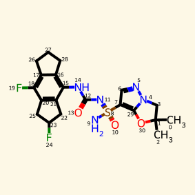 CC1(C)Cn2ncc(S(N)(=O)=NC(=O)Nc3c4c(c(F)c5c3CC(F)C5)CCC4)c2O1